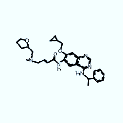 CC(Nc1ncnc2cc(OCC3CC3)c(NC(=O)C=CCN(C)CC3CCCO3)cc12)c1ccccc1